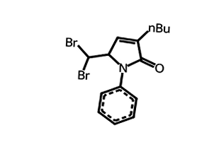 CCCCC1=CC(C(Br)Br)N(c2ccccc2)C1=O